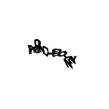 CC(C)OC(=O)N1CCC(C2Cc3cc(-c4cncnc4)ccc3O2)CC1